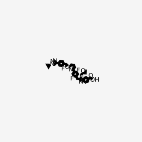 O=C(O)c1ccc2nc(Cc3cc(F)c(-c4cccc(OCc5ccc(-c6cn(C7CC7)nn6)cc5F)n4)cc3F)n(CC3CCO3)c2c1